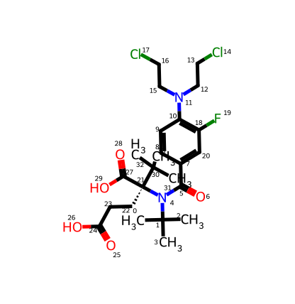 CC(C)(C)N(C(=O)c1ccc(N(CCCl)CCCl)c(F)c1)[C@@](CCC(=O)O)(C(=O)O)C(C)(C)C